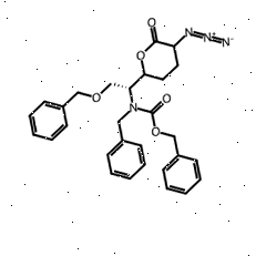 [N-]=[N+]=NC1CCC([C@@H](COCc2ccccc2)N(Cc2ccccc2)C(=O)OCc2ccccc2)OC1=O